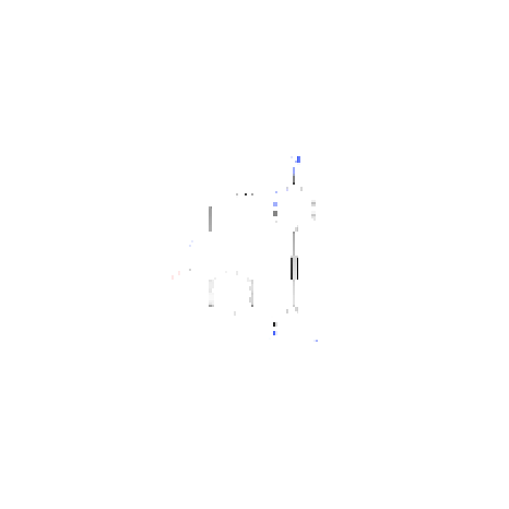 CCc1ncnc(-c2ccc(C(=O)N(C)CCOC)c(Cl)c2)c1C#Cc1ccc(N)nc1